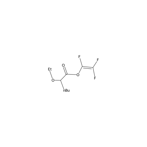 CCCCC(OCC)C(=O)OC(F)=C(F)F